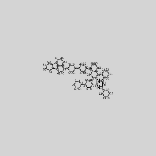 c1ccc(-c2ccc(-c3nc(-c4ccccc4)nc(-c4ccccc4-c4cccc5c(-c6ccc(-c7ccc(-c8ccc9c%10c(cccc8%10)-c8ccccc8-9)cc7)cc6)cccc45)n3)cc2)cc1